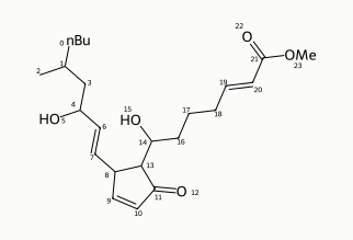 CCCCC(C)CC(O)C=CC1C=CC(=O)C1C(O)CCCC=CC(=O)OC